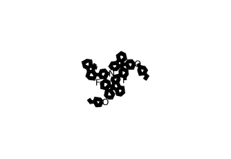 C=Cc1ccc(Oc2ccc(C3(c4ccc(F)cc4)c4ccccc4-c4ccc(N(c5ccc(-c6cccc7c6C(C)(C)c6ccccc6-7)cc5)c5ccc6c(c5)C(c5ccc(F)cc5)(c5ccc(Oc7ccc(C=C)cc7)cc5)c5ccccc5-6)cc43)cc2)cc1